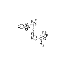 NC(OC(=O)C(F)(F)F)c1ccnc(OCC2CC(C(F)(F)F)CN(S(=O)(=O)N3CCOCC3)C2)c1